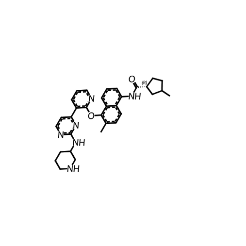 Cc1ccc2c(NC(=O)[C@@H]3CCC(C)C3)cccc2c1Oc1ncccc1-c1ccnc(NC2CCCNC2)n1